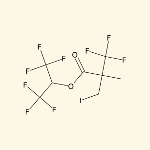 CC(CI)(C(=O)OC(C(F)(F)F)C(F)(F)F)C(F)(F)F